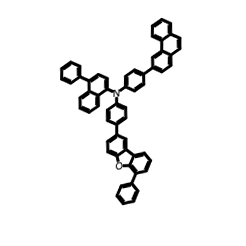 c1ccc(-c2ccc(N(c3ccc(-c4ccc5ccc6ccccc6c5c4)cc3)c3ccc(-c4ccc5oc6c(-c7ccccc7)cccc6c5c4)cc3)c3ccccc23)cc1